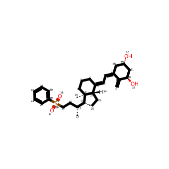 C=C1/C(=C\C=C2/CCC[C@]3(C)[C@@H]([C@H](C)CCS(=O)(=O)c4ccccc4)CC[C@@H]23)C[C@H](O)C[C@H]1O